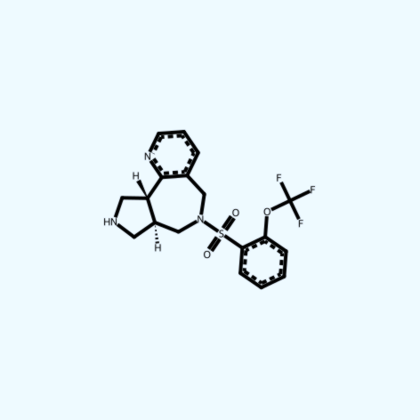 O=S(=O)(c1ccccc1OC(F)(F)F)N1Cc2cccnc2[C@H]2CNC[C@@H]2C1